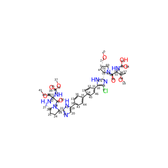 COC[C@H]1C[C@@H](c2nc(Cl)c(-c3ccc(-c4ccc(-c5cnc([C@@H]6CC[C@H](C)N6C(=O)[C@@](N)(NC(=O)OC)[C@@H](C)OC)[nH]5)cc4)cc3)[nH]2)N(C(=O)[C@@H](NC(=O)O)[C@@H](C)OC)C1